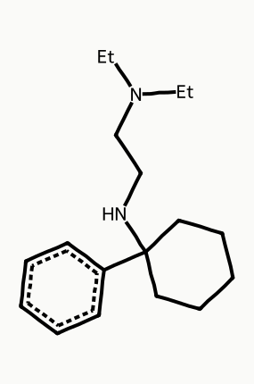 CCN(CC)CCNC1(c2ccccc2)CCCCC1